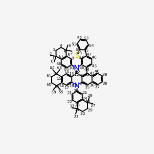 CC1(C)CCC(C)(C)c2cc(N3B4c5cc6c(cc5N(c5ccc7c(c5)C(C)(C)CCC7(C)C)c5cc7ccccc7c(c54)-c4ccc5c(sc7ccccc75)c43)C(C)(C)CCC6(C)C)ccc21